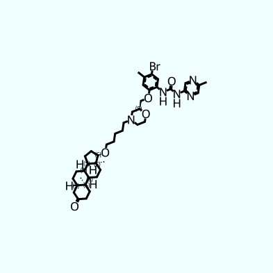 Cc1cnc(NC(=O)Nc2cc(Br)c(C)cc2OC[C@@H]2CN(CCCCCO[C@H]3CC[C@H]4[C@@H]5CC[C@H]6CC(=O)CC[C@]6(C)[C@H]5CC[C@]34C)CCO2)cn1